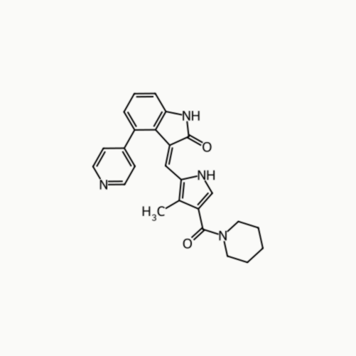 Cc1c(C(=O)N2CCCCC2)c[nH]c1C=C1C(=O)Nc2cccc(-c3ccncc3)c21